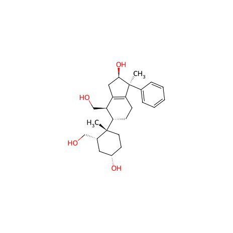 C[C@@]1([C@H]2CCC3=C(C[C@@H](O)[C@@]3(C)c3ccccc3)[C@@H]2CO)CC[C@H](O)C[C@@H]1CO